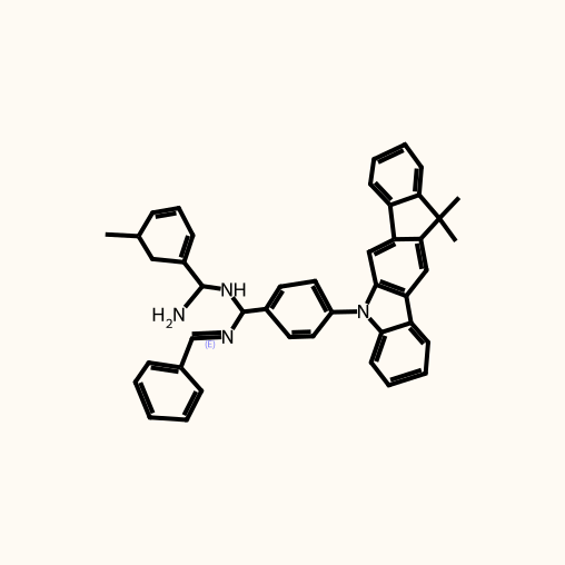 CC1C=CC=C(C(N)NC(/N=C/c2ccccc2)c2ccc(-n3c4ccccc4c4cc5c(cc43)-c3ccccc3C5(C)C)cc2)C1